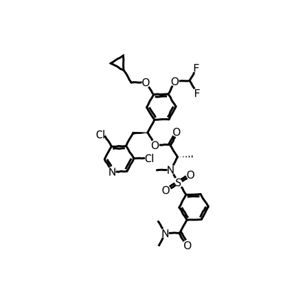 C[C@@H](C(=O)O[C@@H](Cc1c(Cl)cncc1Cl)c1ccc(OC(F)F)c(OCC2CC2)c1)N(C)S(=O)(=O)c1cccc(C(=O)N(C)C)c1